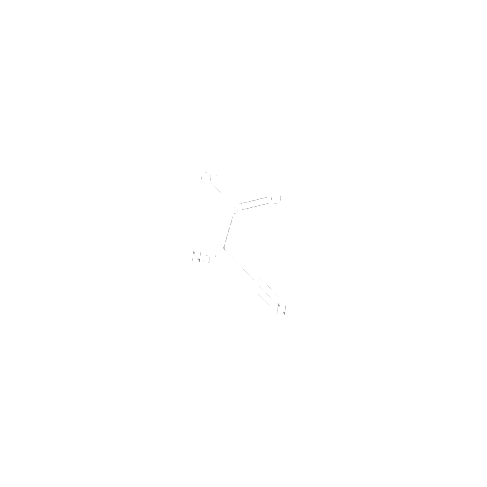 N#CCS(=O)[O-].[Na+]